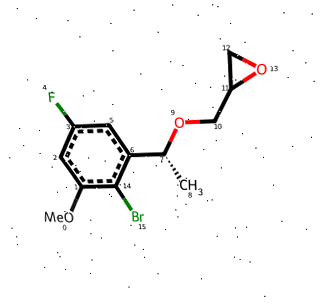 COc1cc(F)cc([C@@H](C)OCC2CO2)c1Br